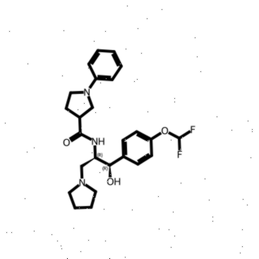 O=C(N[C@H](CN1CCCC1)[C@H](O)c1ccc(OC(F)F)cc1)C1CCN(c2ccccc2)C1